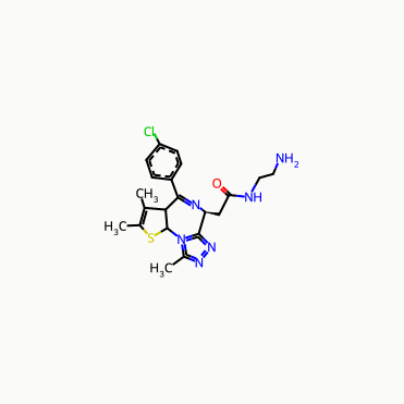 CC1=C(C)C2C(c3ccc(Cl)cc3)=N[C@@H](CC(=O)NCCN)c3nnc(C)n3C2S1